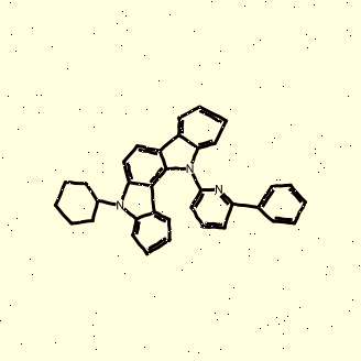 c1ccc(-c2cccc(-n3c4ccccc4c4ccc5c(c6ccccc6n5C5CCCCC5)c43)n2)cc1